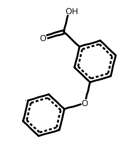 O=C(O)c1cccc(Oc2c[c]ccc2)c1